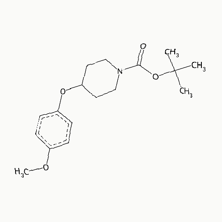 COc1ccc(OC2CCN(C(=O)OC(C)(C)C)CC2)cc1